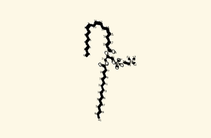 CCCCCCCC/C=C\C/C=C\C/C=C\CCCC(=O)O[C@H](COC(=O)CCCCCCCCCCCCCCC)COP(=O)([O-])OCC[N+](C)(C)C